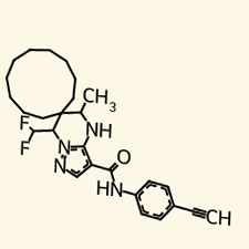 C#Cc1ccc(NC(=O)c2cnn3c2NC(C)C2(CCCCCCCCCC2)C3C(F)F)cc1